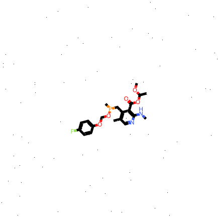 CNc1ncc(C)c(CP(C)OCOc2ccc(F)cc2)c1C(=O)OC(C)OC